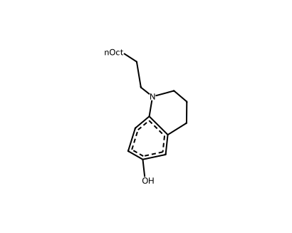 CCCCCCCCCCN1CCCc2cc(O)ccc21